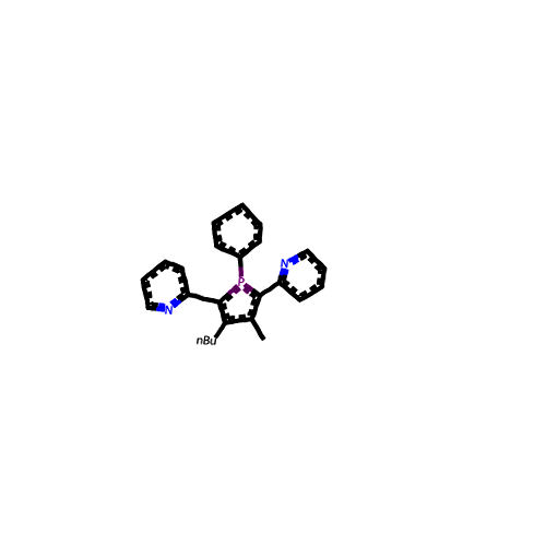 CCCCc1c(C)c(-c2ccccn2)p(-c2ccccc2)c1-c1ccccn1